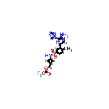 Cc1ccc(S(=O)(=O)NC23CC(COC(=O)C(F)(F)F)(C2)C3)cc1-c1cnc(N)c(-n2cncn2)n1